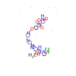 COc1cc2nn(C3CCN(CC4CCN(CCOc5ccc6c(c5)C(=O)N(C5CCC(=O)NC5=O)C6=O)CC4)CC3)cc2cc1NC(=O)c1cccc(C(F)(F)F)n1